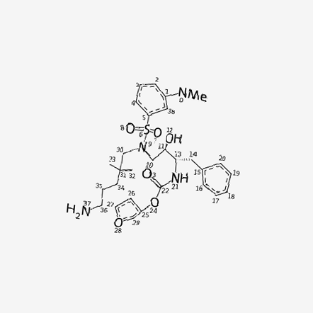 CNc1cccc(S(=O)(=O)N(C[C@@H](O)[C@H](Cc2ccccc2)NC(=O)Oc2ccoc2)CC(C)(C)CCCN)c1